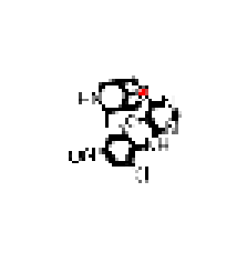 [C-]#[N+]c1ccc(Nc2ncnc(OC3C4CNCC3COC4)c2C)c(Cl)c1